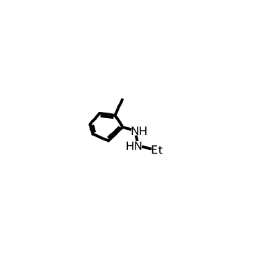 CCNNc1ccccc1C